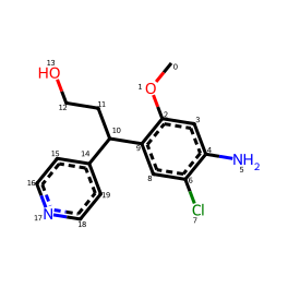 COc1cc(N)c(Cl)cc1C(CCO)c1ccncc1